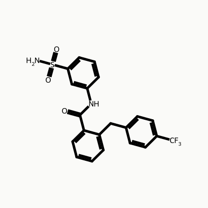 NS(=O)(=O)c1cccc(NC(=O)c2ccccc2Cc2ccc(C(F)(F)F)cc2)c1